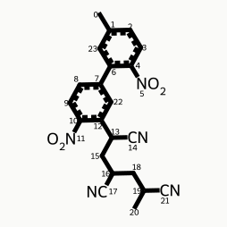 Cc1ccc([N+](=O)[O-])c(-c2ccc([N+](=O)[O-])c(C(C#N)CC(C#N)CC(C)C#N)c2)c1